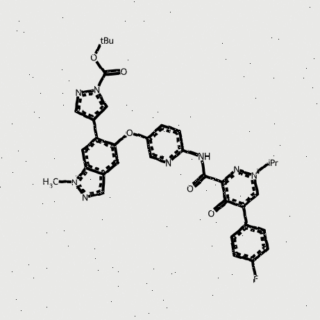 CC(C)n1cc(-c2ccc(F)cc2)c(=O)c(C(=O)Nc2ccc(Oc3cc4cnn(C)c4cc3-c3cnn(C(=O)OC(C)(C)C)c3)cn2)n1